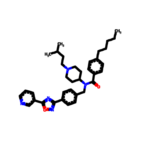 CCCCCc1ccc(C(=O)N(Cc2ccc(-c3noc(-c4cccnc4)n3)cc2)C2CCN(CCC(C)C)CC2)cc1